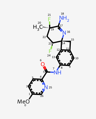 COc1ccc(C(=O)Nc2ccc3c(c2)[C@@]2(C3)N=C(N)[C@](C)(F)C[C@@H]2F)nc1